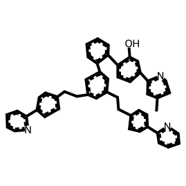 Cc1ccnc(-c2ccc(-c3ccccc3-c3cc(CCc4ccc(-c5ccccn5)cc4)cc(CCc4ccc(-c5ccccn5)cc4)c3)c(O)c2)c1